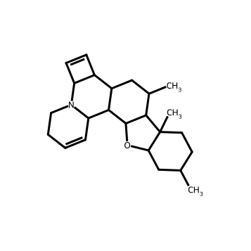 CC1CCC2(C)C(C1)OC1C3C(CC(C)C12)C1C=CC1N1CCC=CC31